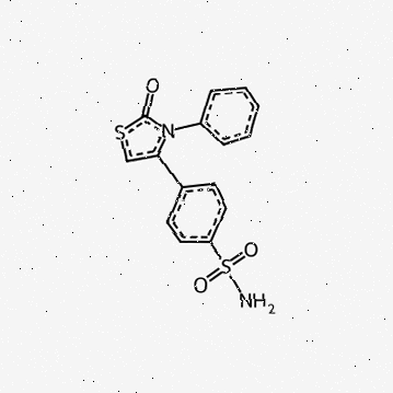 NS(=O)(=O)c1ccc(-c2csc(=O)n2-c2ccccc2)cc1